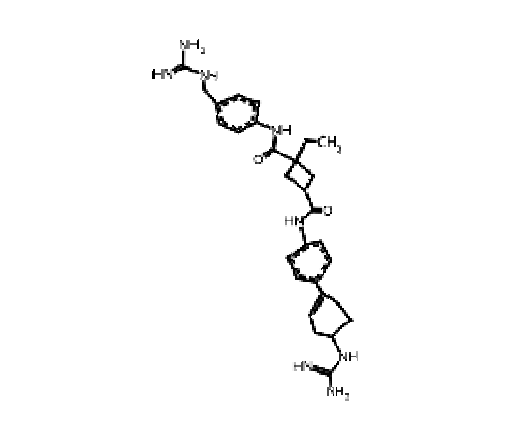 CCC1(C(=O)Nc2ccc(CNC(=N)N)cc2)CC(C(=O)Nc2ccc(C3=CCC(NC(=N)N)CC3)cc2)C1